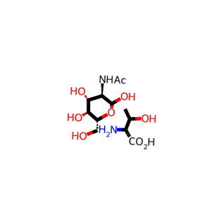 CC(=O)N[C@H]1C(O)O[C@H](CO)[C@@H](O)[C@@H]1O.CC(O)C(N)C(=O)O